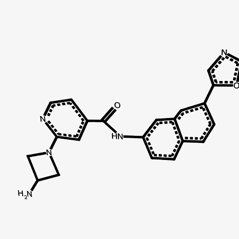 NC1CN(c2cc(C(=O)Nc3ccc4ccc(-c5cnco5)cc4c3)ccn2)C1